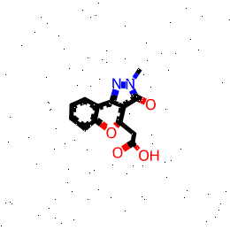 Cn1nc2c3ccccc3oc(CC(=O)O)c-2c1=O